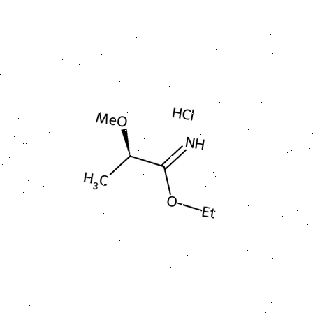 CCOC(=N)[C@@H](C)OC.Cl